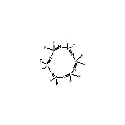 FP1(F)=NP(F)(F)=NP(F)(F)=NP(F)(F)=NP(F)(F)=NP(F)(F)=N1